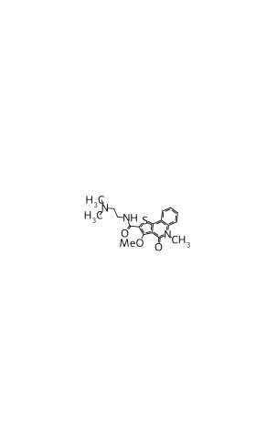 COc1c(C(=O)NCCN(C)C)sc2c1c(=O)n(C)c1ccccc21